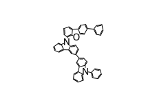 c1ccc(-c2ccc3c(c2)oc2c(-n4c5ccccc5c5cc(-c6ccc7c(c6)c6ccccc6n7-c6ccccc6)ccc54)cccc23)cc1